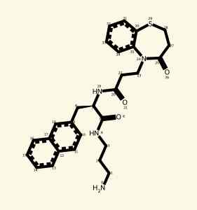 NCCCNC(=O)[C@@H](Cc1ccc2ccccc2c1)NC(=O)CCN1C(=O)CCSc2ccccc21